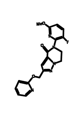 COc1ccc(F)c(N2CCn3nc(COc4ccccn4)cc3C2=O)n1